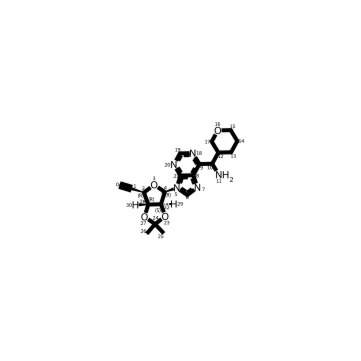 C#C[C@H]1O[C@@H](n2cnc3c(C(N)C4CCCOC4)ncnc32)[C@H]2OC(C)(C)O[C@@H]21